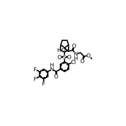 COC(=O)CNC(=O)CC1(O)C2CCC1CC(S(=O)(=O)c1cc(C(=O)Nc3cc(F)c(F)c(F)c3)ccc1Cl)C2